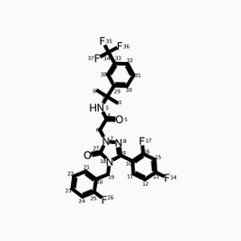 CC(C)(NC(=O)Cn1nc(-c2ccc(F)cc2F)n(Cc2ccccc2F)c1=O)c1cccc(C(F)(F)F)c1